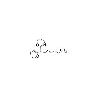 CCCCCCC(C1=NCCCO1)C1=NCCCO1